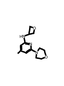 Cc1cc(NC2COC2)nc(N2CCOCC2)c1